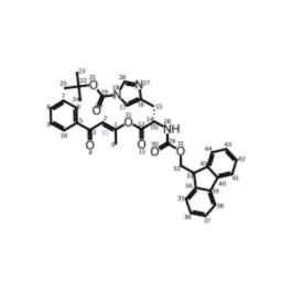 C/C(=C\C(=O)c1ccccc1)OC(=O)[C@H](Cc1cn(C(=O)OC(C)(C)C)cn1)NC(=O)OCC1c2ccccc2-c2ccccc21